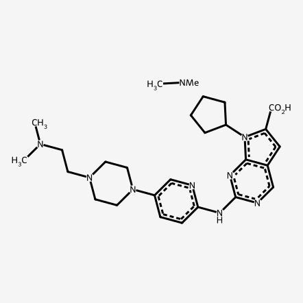 CN(C)CCN1CCN(c2ccc(Nc3ncc4cc(C(=O)O)n(C5CCCC5)c4n3)nc2)CC1.CNC